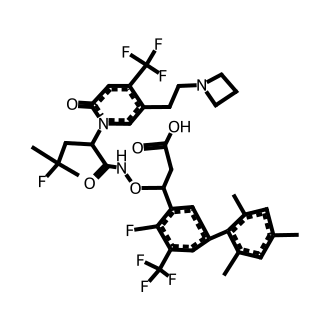 Cc1cc(C)c(-c2cc(C(CC(=O)O)ONC(=O)C(CC(C)(C)F)n3cc(CCN4CCC4)c(C(F)(F)F)cc3=O)c(F)c(C(F)(F)F)c2)c(C)c1